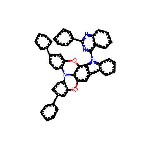 c1ccc(-c2ccc3c(c2)Oc2cc4c5ccccc5n(-c5nc(-c6ccccc6)nc6ccccc56)c4c4c2N3c2ccc(-c3ccccc3)cc2O4)cc1